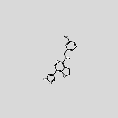 CC(=O)c1cccc(CNc2ncc(-c3cn[nH]c3)c3c2CCO3)c1